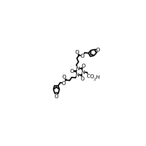 O=C(O)Cn1c(=O)n(CCCC(=O)OCC2CC3CC2C2OC32)c(=O)n(CCCC(=O)OCC2CC3CC2C2OC32)c1=O